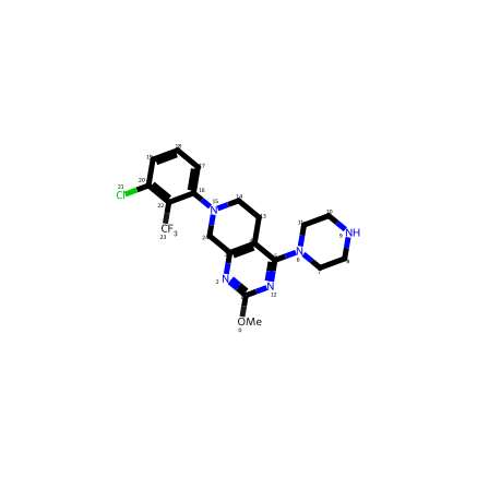 COc1nc2c(c(N3CCNCC3)n1)CCN(c1cccc(Cl)c1C(F)(F)F)C2